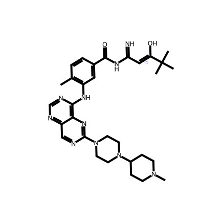 Cc1ccc(C(=O)NC(=N)/C=C(\O)C(C)(C)C)cc1Nc1ncnc2cnc(N3CCN(C4CCN(C)CC4)CC3)nc12